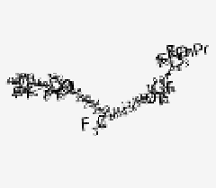 CCCOc1ccc(C#Cc2ccc(OCCCCCCCCC(CCCCCCCCOc3ccc(C#Cc4ccc(C)c(F)c4F)c(F)c3F)C(F)(F)F)c(F)c2F)c(F)c1F